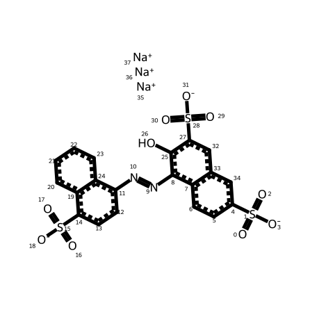 O=S(=O)([O-])c1ccc2c(N=Nc3ccc(S(=O)(=O)[O-])c4ccccc34)c(O)c(S(=O)(=O)[O-])cc2c1.[Na+].[Na+].[Na+]